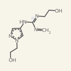 C=N/C(=N\CCO)Nc1cnn(CCO)c1